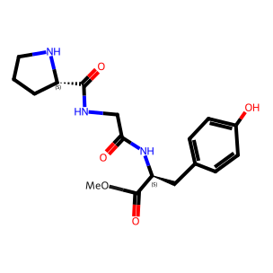 COC(=O)[C@H](Cc1ccc(O)cc1)NC(=O)CNC(=O)[C@@H]1CCCN1